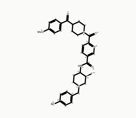 COc1ccc(C(=O)C2CCN(C(=O)c3ccc(C(=O)NC4CCN(Cc5ccc(C#N)cc5)C[C@@H]4F)cn3)CC2)cc1